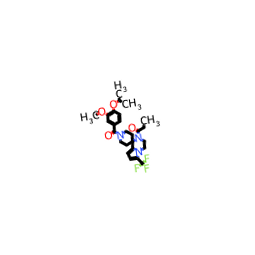 CCC(=O)N1CCn2c(C(F)(F)F)ccc2C12CCN(C(=O)c1ccc(OC(C)C)c(OC)c1)CC2